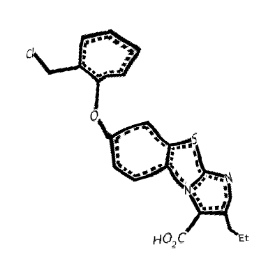 CCc1nc2sc3cc(Oc4ccccc4CCl)ccc3n2c1C(=O)O